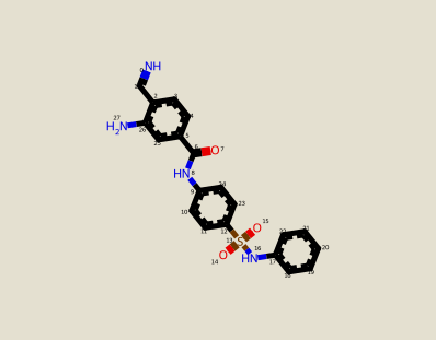 N=Cc1ccc(C(=O)Nc2ccc(S(=O)(=O)Nc3ccccc3)cc2)cc1N